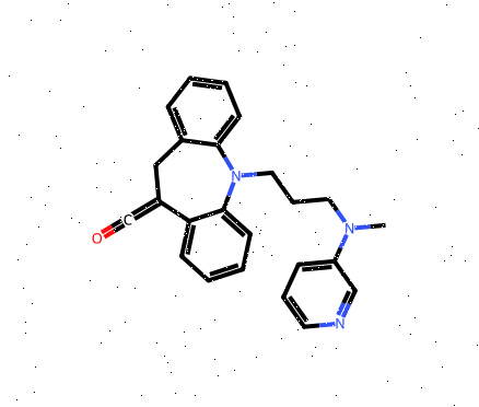 CN(CCCN1c2ccccc2CC(=C=O)c2ccccc21)c1cccnc1